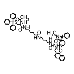 CCNC(=O)[C@]1(Cc2ccccc2)CCCN(C(=O)[C@@H](Cc2ccc3ccccc3c2)NC(=O)NCCCCNC(=O)CCCCCNC(=O)C(CSC(c2ccccc2)(c2ccccc2)c2ccccc2)NC(C)=O)C1